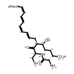 CCCCC\C=C/C=C/C=C\C=CC[C@H](C(=O)C(CS)NC(=O)CN)[C@@H](O)CCCC(=O)O